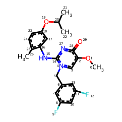 COc1cn(Cc2cc(F)cc(F)c2)c(Nc2cc(OC(C)C)ccc2C)nc1=O